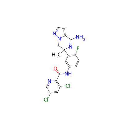 CC1(c2cc(NC(=O)c3ncc(Cl)cc3Cl)ccc2F)Cn2nccc2C(N)=N1